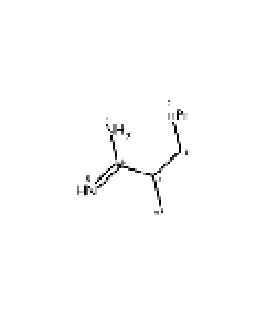 CCCCC(C)C(=N)N